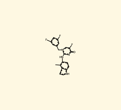 Cc1c(Nc2nc(=O)c(F)cn2Cc2cc(F)cc(F)c2)ccc2[nH]ccc12